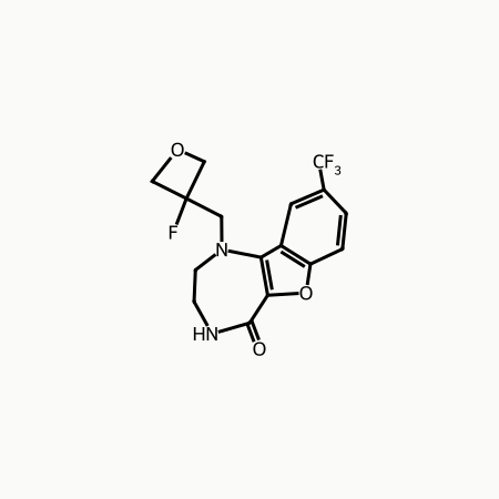 O=C1NCCN(CC2(F)COC2)c2c1oc1ccc(C(F)(F)F)cc21